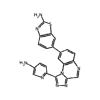 Nc1ccc(-c2nnc3cnc4ccc(-c5ccc6nc(N)sc6c5)cc4n23)nc1